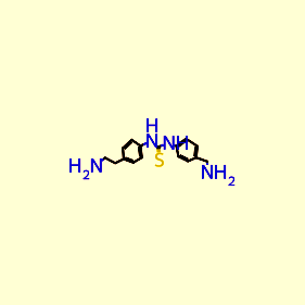 NCCc1ccc(NC(=S)Nc2ccc(CN)cc2)cc1